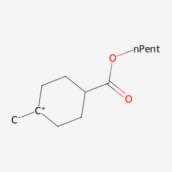 [CH2-][C+]1CCC(C(=O)OCCCCC)CC1